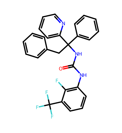 O=C(Nc1cccc(C(F)(F)F)c1F)NC(Cc1ccccc1)(c1ccccc1)c1ccccn1